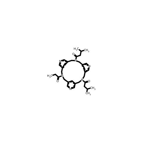 CCC(=O)N1Cc2cncc(c2)CN(C(=O)CC(C)C)Cc2cncc(c2)CN(C(=O)CC(C)C)Cc2cncc(c2)C1